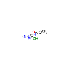 Cl.O=c1cc(-c2ccc(C(F)(F)F)cc2)ccn1-c1ccc2c(cnn2CCN2CCCC2)c1